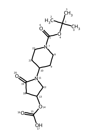 CC(C)(C)OC(=O)N1CCC(N2CC(OC(=O)O)CC2=O)CC1